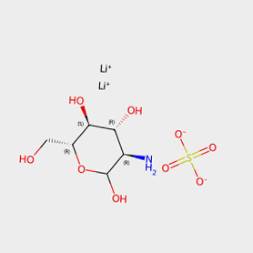 N[C@H]1C(O)O[C@H](CO)[C@@H](O)[C@@H]1O.O=S(=O)([O-])[O-].[Li+].[Li+]